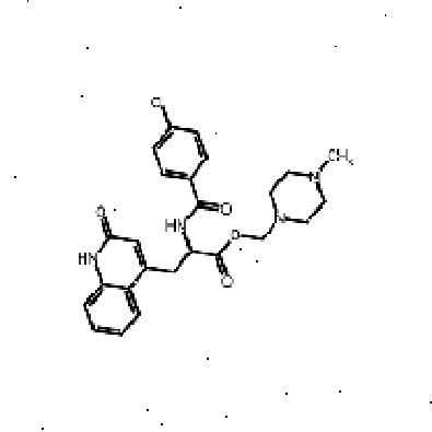 CN1CCN(COC(=O)C(Cc2cc(=O)[nH]c3ccccc23)NC(=O)c2ccc(Cl)cc2)CC1